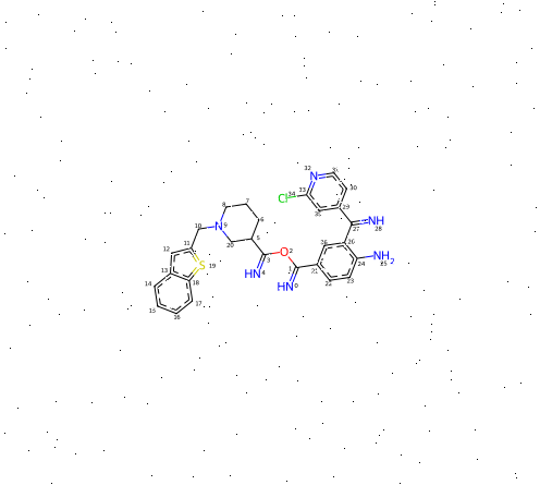 N=C(OC(=N)C1CCCN(Cc2cc3ccccc3s2)C1)c1ccc(N)c(C(=N)c2ccnc(Cl)c2)c1